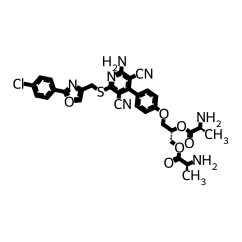 C[C@H](N)C(=O)OC[C@H](COc1ccc(-c2c(C#N)c(N)nc(SCc3coc(-c4ccc(Cl)cc4)n3)c2C#N)cc1)OC(=O)[C@H](C)N